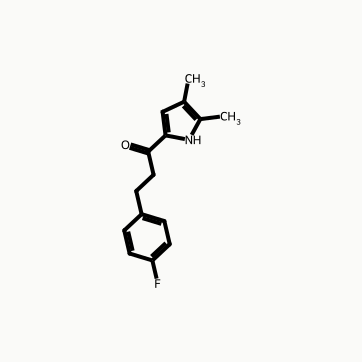 Cc1cc(C(=O)CCc2ccc(F)cc2)[nH]c1C